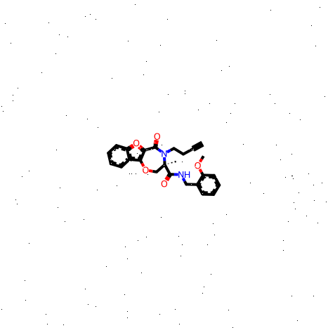 C#CCCN1C(=O)c2oc3ccccc3c2OC[C@]1(C)C(=O)NCc1ccccc1OC